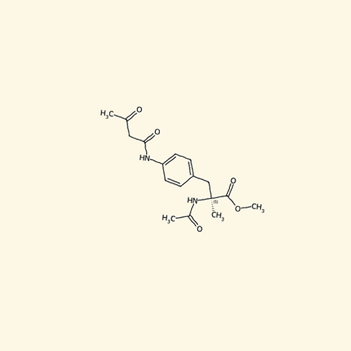 COC(=O)[C@](C)(Cc1ccc(NC(=O)CC(C)=O)cc1)NC(C)=O